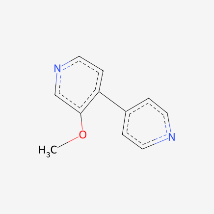 COc1cnccc1-c1ccncc1